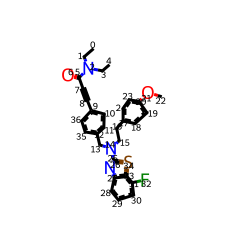 CCN(CC)C(=O)C#Cc1ccc(CN(CCc2ccc(OC)cc2)c2nc3cccc(F)c3s2)cc1